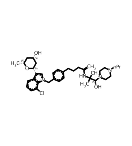 C=C(CCCc1ccc(Cn2cc([C@H]3C[C@@H](O)C[C@@H](C)O3)c3cccc(Cl)c32)cc1)NC(C)(C)[C@H](O)N1CCN(CCC)CC1